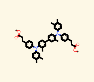 COC(=O)CCc1ccc(N(c2ccc(C)c(C)c2)c2ccc(-c3ccc(N(c4ccc(CCC(=O)OC)cc4)c4ccc(C)c(C)c4)c(C)c3)cc2C)cc1